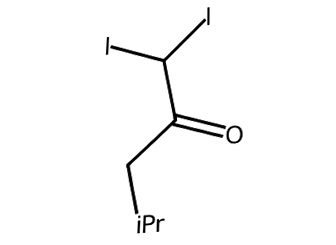 CC(C)CC(=O)C(I)I